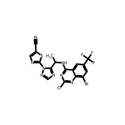 CC(Nc1nc(Cl)nc2c(Br)cc(C(F)(F)F)cc12)c1ncnn1-c1ncc(C#N)s1